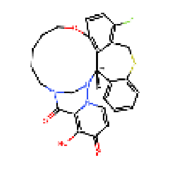 O=C1c2c(O)c(=O)ccn2N2CN1CCCCCOc1ccc(F)c3c1[C@@H]2c1ccccc1SC3